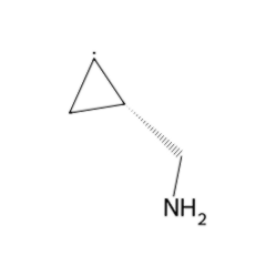 NC[C@H]1[CH]C1